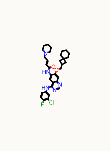 O=C(/C=C/CN1CCCCC1)Nc1cc2c(Nc3ccc(F)c(Cl)c3)ncnc2cc1OCC1CC2(CCCCC2)C1